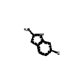 CC(=O)Oc1cc2ccc(Cl)cc2[nH]1